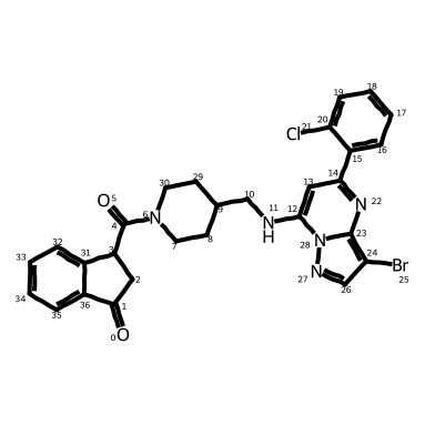 O=C1CC(C(=O)N2CCC(CNc3cc(-c4ccccc4Cl)nc4c(Br)cnn34)CC2)c2ccccc21